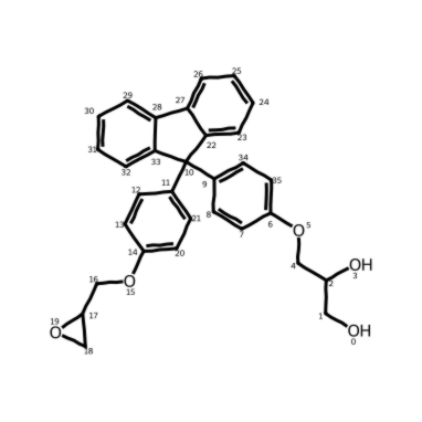 OCC(O)COc1ccc(C2(c3ccc(OCC4CO4)cc3)c3ccccc3-c3ccccc32)cc1